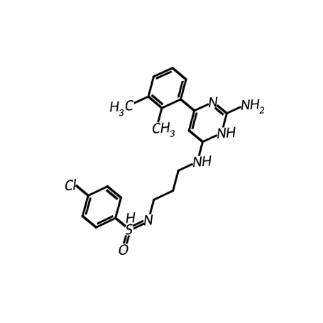 Cc1cccc(C2=CC(NCCC/N=[SH](=O)\c3ccc(Cl)cc3)NC(N)=N2)c1C